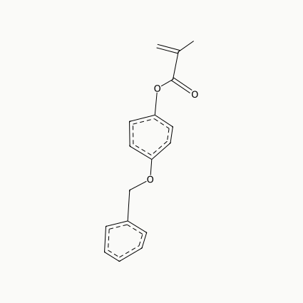 C=C(C)C(=O)Oc1ccc(OCc2ccccc2)cc1